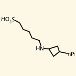 CCCC1CC(NCCCCCS(=O)(=O)O)C1